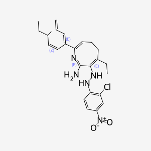 C=C/C=C(\C=C/C(C)CC)C1=CCC/C(CC)=C(NNc2ccc([N+](=O)[O-])cc2Cl)\C(N)=N/1